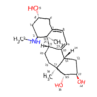 CNC1C[C@H](O)CC2=CC=C3[C@@H]4C[C@@H](O)[C@H](O)[C@@]4(C)CC[C@@H]3[C@]21C